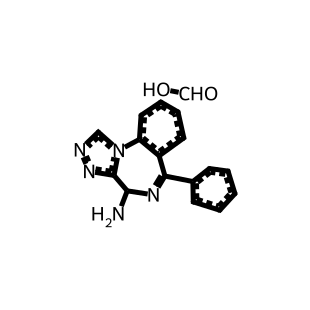 NC1N=C(c2ccccc2)c2ccccc2-n2cnnc21.O=CO